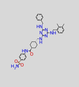 Cc1cccc(CNc2nc(NCc3ccccc3)nc(NC[C@H]3CC[C@H](C(=O)Nc4ccc(S(N)(=O)=O)cc4)CC3)n2)c1C